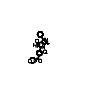 COc1cc(C(=O)N2CCOCC2)ccc1-c1nc2c(c(C3CCCCC3)nn2C)c(=O)[nH]1